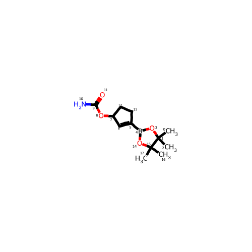 CC1(C)OB(C2=CC(OC(N)=O)CC2)OC1(C)C